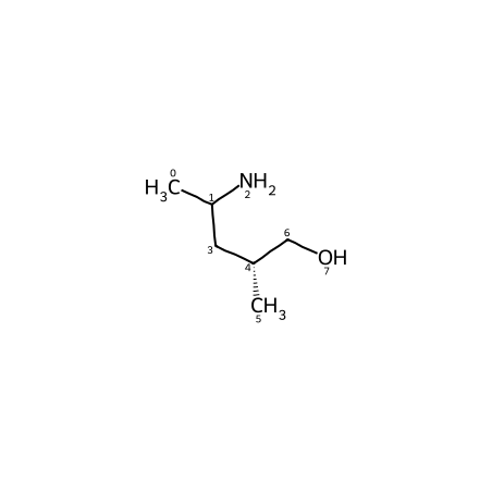 CC(N)C[C@@H](C)CO